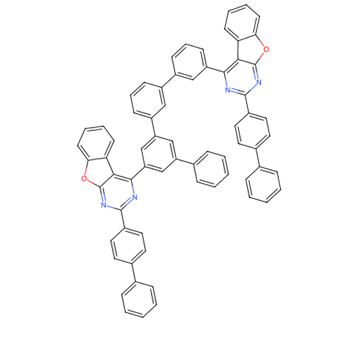 c1ccc(-c2ccc(-c3nc(-c4cccc(-c5cccc(-c6cc(-c7ccccc7)cc(-c7nc(-c8ccc(-c9ccccc9)cc8)nc8oc9ccccc9c78)c6)c5)c4)c4c(n3)oc3ccccc34)cc2)cc1